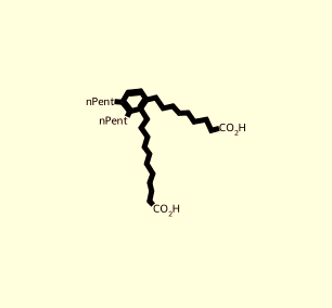 CCCCCc1ccc(CCCCCCCCC(=O)O)c(CCCCCCCCCCC(=O)O)c1CCCCC